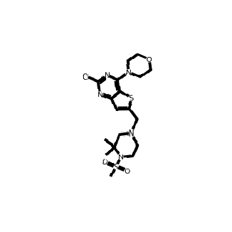 CC1(C)CN(Cc2cc3nc(Cl)nc(N4CCOCC4)c3s2)CCN1S(C)(=O)=O